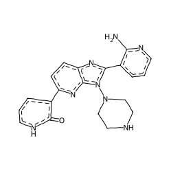 Nc1ncccc1-c1nc2ccc(-c3ccc[nH]c3=O)nc2n1N1CCNCC1